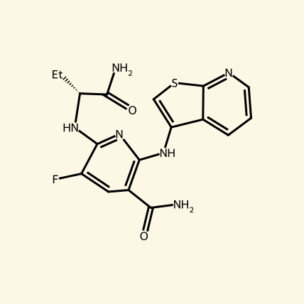 CC[C@@H](Nc1nc(Nc2csc3ncccc23)c(C(N)=O)cc1F)C(N)=O